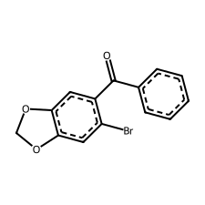 O=C(c1ccccc1)c1cc2c(cc1Br)OCO2